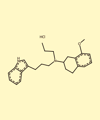 CCCN(CCCc1c[nH]c2ccccc12)C1CCc2cccc(OC)c2C1.Cl